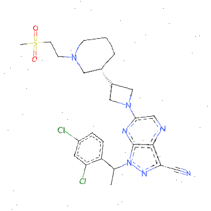 CC(c1ccc(Cl)cc1Cl)n1nc(C#N)c2ncc(N3CC([C@H]4CCCN(CCS(C)(=O)=O)C4)C3)nc21